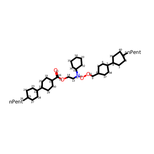 CCCCCC1CCC(C2CCC(COON(CCOC(=O)C3CCC(C4CCC(CCCCC)CC4)CC3)C3CCCCC3)CC2)CC1